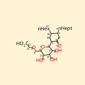 CCCCCCCC1CC(=O)C(C2OC(COCC(=O)O)C(O)C(O)C2O)CC1CCCCCC